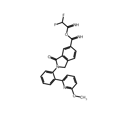 COc1cccc(-c2ccccc2N2Cc3ccc(C(=N)OC(=N)C(F)F)cc3C2=O)n1